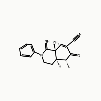 C[C@H]1C(=O)C(C#N)=C[C@@]2(P)C(=N)N(c3ccccc3)CC[C@H]12